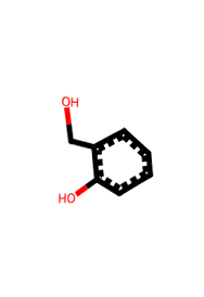 OCc1[c]cccc1O